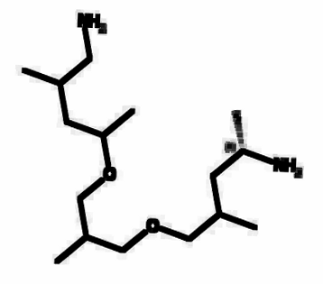 CC(COCC(C)C[C@H](C)N)COC(C)CC(C)CN